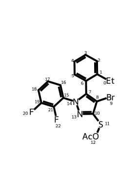 CCc1ccccc1-c1c(Br)c(SOC(C)=O)nn1-c1cccc(F)c1F